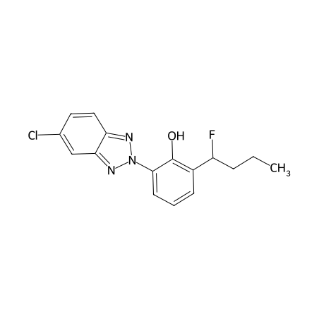 CCCC(F)c1cccc(-n2nc3ccc(Cl)cc3n2)c1O